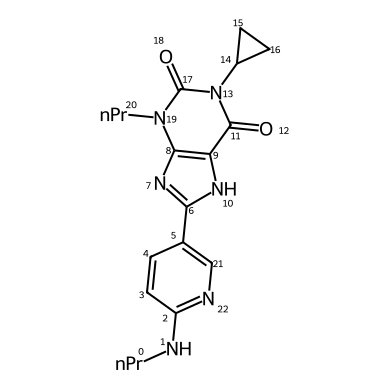 CCCNc1ccc(-c2nc3c([nH]2)c(=O)n(C2CC2)c(=O)n3CCC)cn1